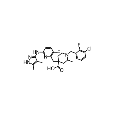 Cc1[nH]nc(Nc2ccc(F)c(CC3(C(=O)O)CCN(Cc4cccc(Cl)c4F)C(C)C3)n2)c1C